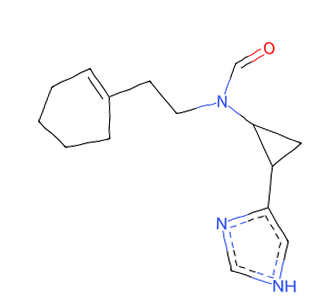 O=CN(CCC1=CCCCC1)C1CC1c1c[nH]cn1